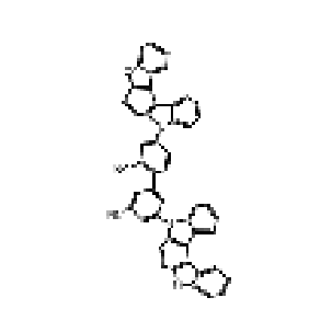 N#Cc1cc(-c2ccc(-n3c4ccccc4c4c5c(ccc43)oc3ccccc35)cc2C#N)cc(-n2c3ccccc3c3c4c(ccc32)oc2ccccc24)c1